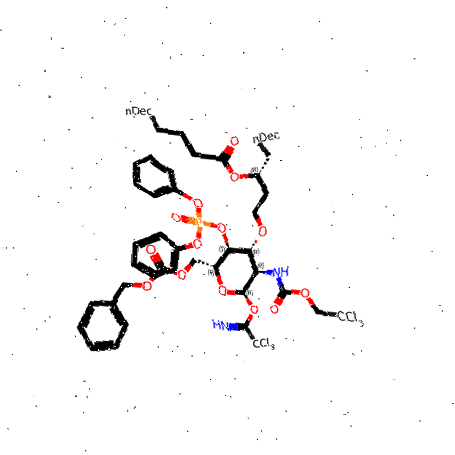 CCCCCCCCCCCCCC(=O)O[C@H](CCCCCCCCCCC)CCO[C@@H]1[C@@H](NC(=O)OCC(Cl)(Cl)Cl)[C@@H](OC(=N)C(Cl)(Cl)Cl)O[C@H](COC(=O)OCc2ccccc2)[C@H]1OP(=O)(Oc1ccccc1)Oc1ccccc1